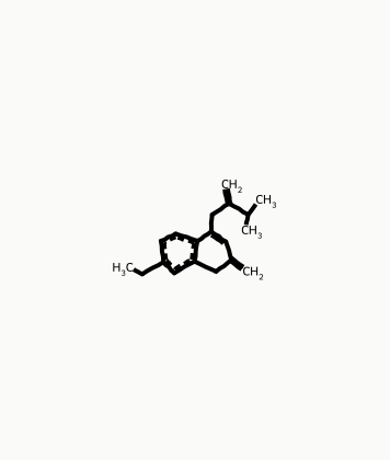 C=C1C=C(CC(=C)C(C)C)c2ccc(CC)cc2C1